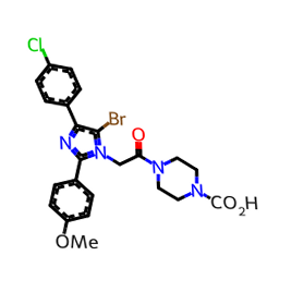 COc1ccc(-c2nc(-c3ccc(Cl)cc3)c(Br)n2CC(=O)N2CCN(C(=O)O)CC2)cc1